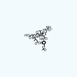 CC(=O)OCc1ccc(NC(=O)[C@H](CCCNC(N)=O)NC(=O)[C@@H](NC(=O)[C@H](CNCC(=O)O)NC(=O)C(C)CC(=O)O)C(C)C)cc1